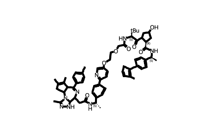 CC1=NNC2C(CC(=O)N[C@@H](C)c3ccc(-c4ccc(OCCOCC(=O)N[C@H](C(=O)C5CC(O)C[C@H]5C(=O)N[C@@H](C)c5ccc(C6=C(C)C=CC6)cc5)C(C)(C)C)cn4)cc3)N=C(c3ccc(C)cc3)C3C(C)=C(C)CC3N12